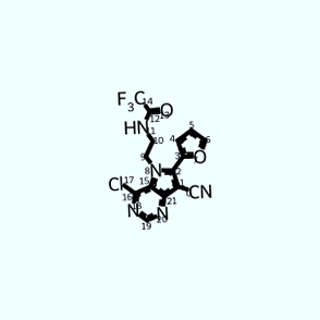 N#Cc1c(-c2ccco2)n(CCNC(=O)C(F)(F)F)c2c(Cl)ncnc12